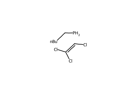 CCCCCP.ClC=C(Cl)Cl